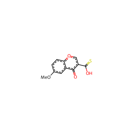 COc1ccc2occ(C(O)=S)c(=O)c2c1